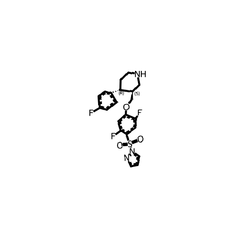 O=S(=O)(c1cc(F)c(OC[C@@H]2CNCC[C@H]2c2ccc(F)cc2)cc1F)n1cccn1